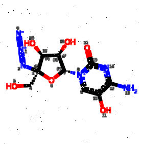 [N-]=[N+]=N[C@]1(CO)O[C@@H](n2cc(O)c(N)nc2=O)[C@H](O)[C@@H]1O